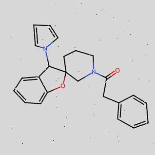 O=C(Cc1ccccc1)N1CCCC2(C1)Oc1ccccc1C2n1cccc1